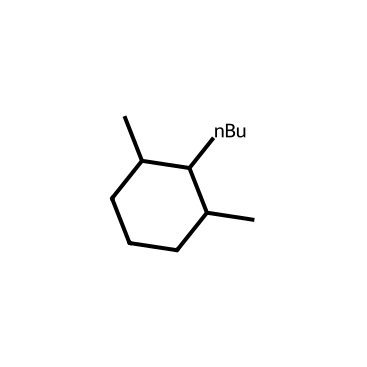 CC[CH]CC1C(C)CCCC1C